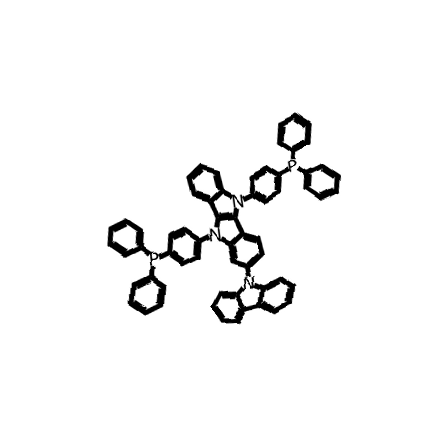 c1ccc(P(c2ccccc2)c2ccc(-n3c4ccccc4c4c3c3ccc(-n5c6ccccc6c6ccccc65)cc3n4-c3ccc(P(c4ccccc4)c4ccccc4)cc3)cc2)cc1